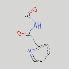 O=[C]NC(=O)c1ccccn1